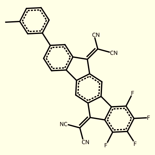 Cc1cccc(-c2ccc3c(c2)C(=C(C#N)C#N)c2cc4c(cc2-3)C(=C(C#N)C#N)c2c(F)c(F)c(F)c(F)c2-4)c1